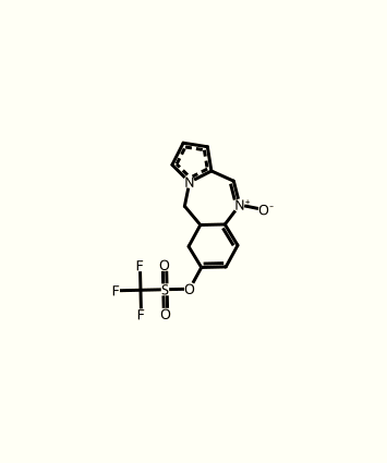 O=S(=O)(OC1=CC=C2C(C1)Cn1cccc1C=[N+]2[O-])C(F)(F)F